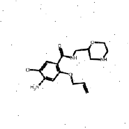 C=CCOc1cc(N)c(Cl)cc1C(=O)NCC1CNCCO1